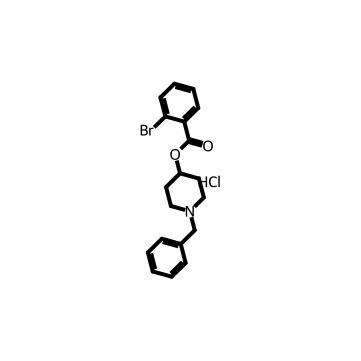 Cl.O=C(OC1CCN(Cc2ccccc2)CC1)c1ccccc1Br